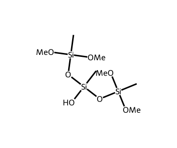 CO[Si](C)(OC)O[Si](C)(O)O[Si](C)(OC)OC